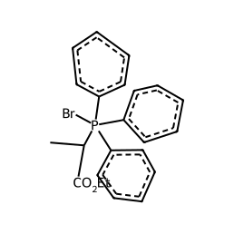 CCOC(=O)C(C)P(Br)(c1ccccc1)(c1ccccc1)c1ccccc1